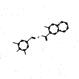 O=C(NN=Cc1cc(Cl)c(O)c(Cl)c1)c1cc2ccccc2cc1O